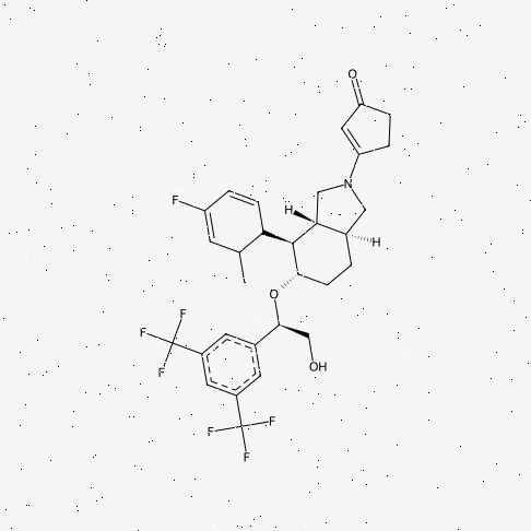 CC1C=C(F)C=CC1[C@H]1[C@@H]2CN(C3=CC(=O)CC3)C[C@H]2CC[C@@H]1O[C@@H](CO)c1cc(C(F)(F)F)cc(C(F)(F)F)c1